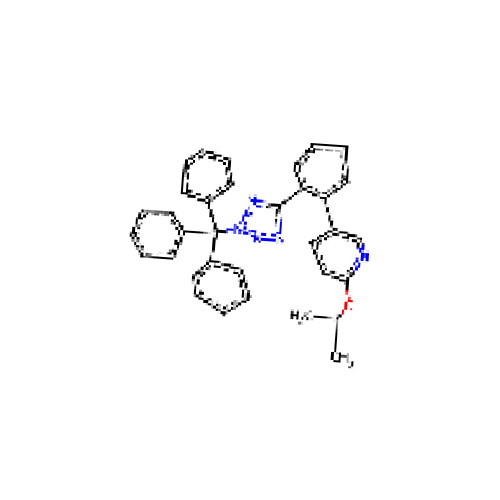 CC(C)Oc1ccc(-c2ccccc2-c2nnn(C(c3ccccc3)(c3ccccc3)c3ccccc3)n2)cn1